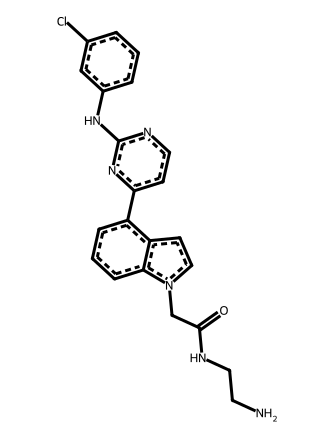 NCCNC(=O)Cn1ccc2c(-c3ccnc(Nc4cccc(Cl)c4)n3)cccc21